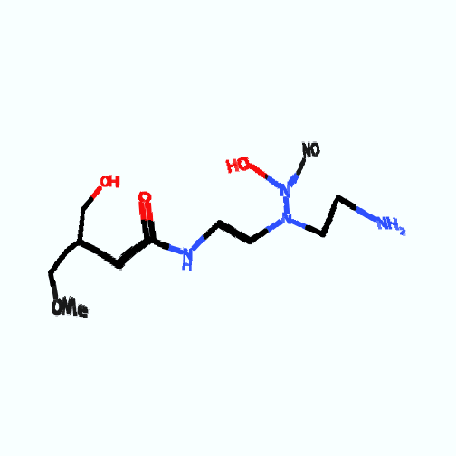 COCC(CO)CC(=O)NCCN(CCN)N(O)N=O